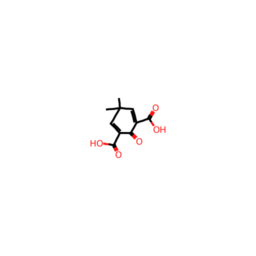 CC1(C)C=C(C(=O)O)C(=O)C(C(=O)O)=C1